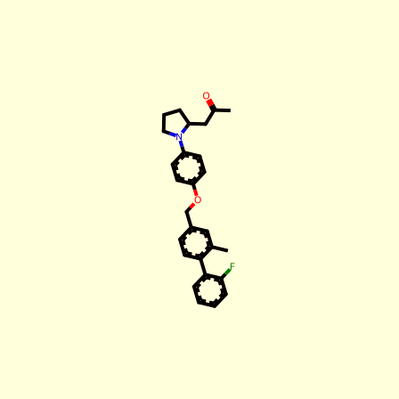 CC(=O)CC1CCCN1c1ccc(OCc2ccc(-c3ccccc3F)c(C)c2)cc1